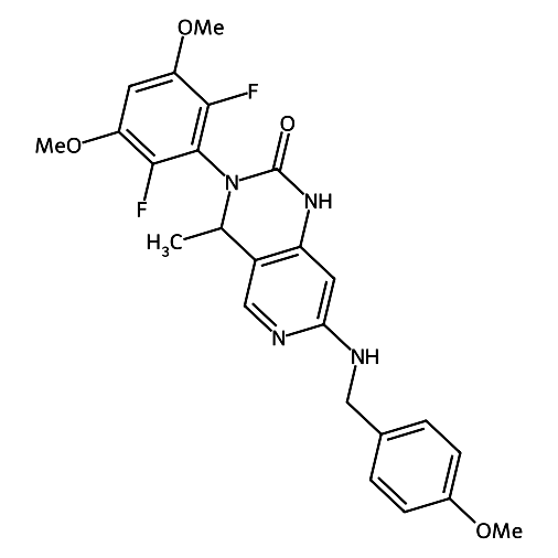 COc1ccc(CNc2cc3c(cn2)C(C)N(c2c(F)c(OC)cc(OC)c2F)C(=O)N3)cc1